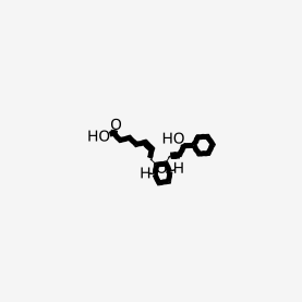 O=C(O)CCC/C=C\C[C@@H]1[C@H](/C=C/C(O)C2CCCCC2)[C@H]2CC[C@@H]1O2